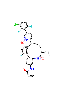 COC(=O)Nc1ccc2c(c1)NC(=O)C(C)CCCC(c1ccc(-c3c(F)ccc(Cl)c3F)c[n+]1O)c1ccc(F)c-2c1